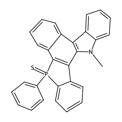 Cn1c2ccccc2c2c3ccccc3c3c(c21)-c1ccccc1P3(=S)c1ccccc1